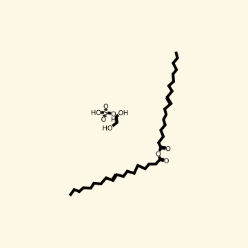 CCCCCCCCC=CCCCCCCCC(=O)OC(=O)CCCCCCCC=CCCCCCCCC.O=S(=O)(O)O.OCCO